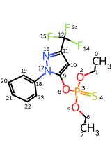 CCOP(=S)(OCC)Oc1cc(C(F)(F)F)nn1-c1ccccc1